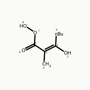 CCCCC(O)=C(C)C(=O)OO